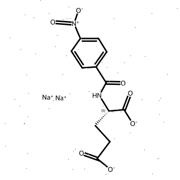 O=C([O-])CC[C@H](NC(=O)c1ccc([N+](=O)[O-])cc1)C(=O)[O-].[Na+].[Na+]